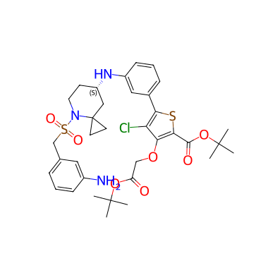 CC(C)(C)OC(=O)COc1c(C(=O)OC(C)(C)C)sc(-c2cccc(N[C@H]3CCN(S(=O)(=O)Cc4cccc(N)c4)C4(CC4)C3)c2)c1Cl